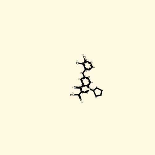 O=C(O)c1cn(C2CCCC2)c2ccc(Cc3cccc(Cl)c3Cl)cc2c1=O